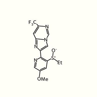 CC[S+]([O-])c1cc(OC)cnc1-c1cn2cnc(C(F)(F)F)cc2n1